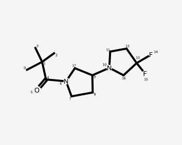 CC(C)(C)C(=O)N1CCC(N2CCC(F)(F)C2)C1